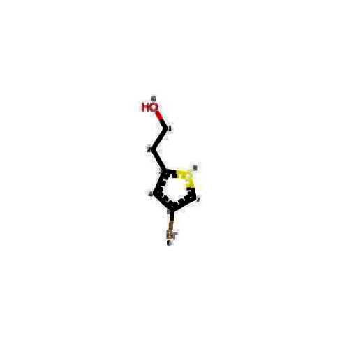 OCCc1cc(Br)cs1